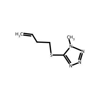 C=CCCSc1nnnn1C